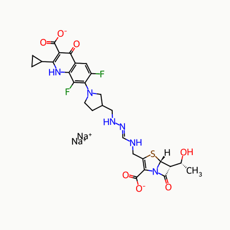 C[C@@H](O)[C@@H]1C(=O)N2C(C(=O)[O-])=C(CNC=NNCC3CCN(c4c(F)cc5c(=O)c(C(=O)[O-])c(C6CC6)[nH]c5c4F)C3)S[C@H]12.[Na+].[Na+]